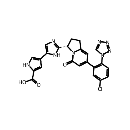 O=C(O)c1cc(-c2cnc([C@@H]3CCc4cc(-c5cc(Cl)ccc5-n5cnnn5)cc(=O)n43)[nH]2)c[nH]1